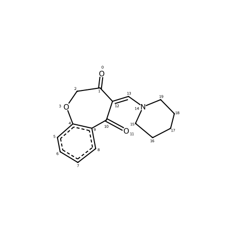 O=C1COc2ccccc2C(=O)C1=CN1CCCCC1